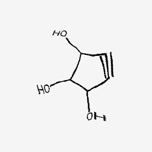 OC1C#CC(O)C1O